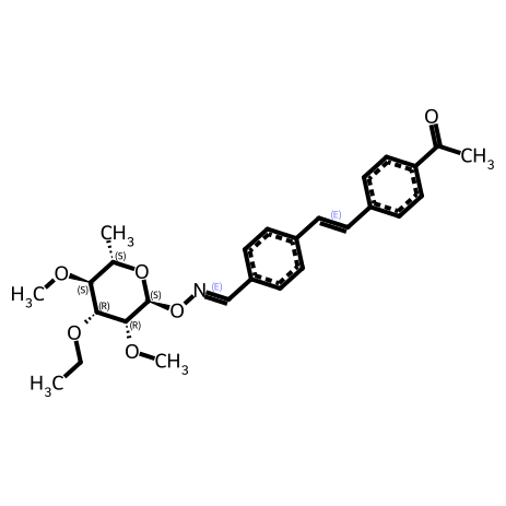 CCO[C@@H]1[C@@H](OC)[C@H](C)O[C@@H](O/N=C/c2ccc(/C=C/c3ccc(C(C)=O)cc3)cc2)[C@@H]1OC